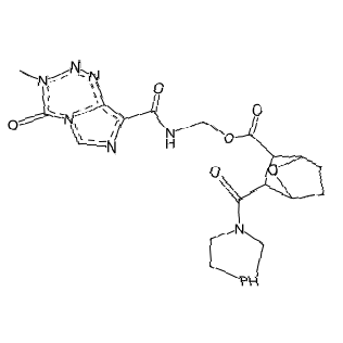 Cn1nnc2c(C(=O)NCOC(=O)C3C4CCC(O4)C3C(=O)N3CCPCC3)ncn2c1=O